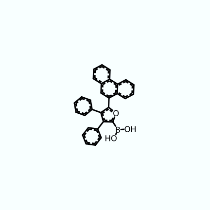 OB(O)c1oc(-c2cc3ccccc3c3ccccc23)c(-c2ccccc2)c1-c1ccccc1